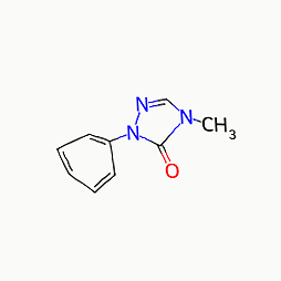 Cn1cnn(-c2ccccc2)c1=O